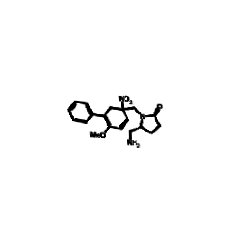 COC1=C(c2ccccc2)CC(CN2C(=O)CC[C@H]2CN)([N+](=O)[O-])C=C1